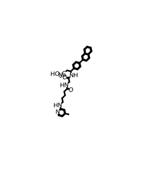 Cc1ccnc(NCCCCC(=O)NCC(=O)NC(CC(=O)O)c2ccc(-c3ccc4ccccc4c3)cc2)c1.[Na]